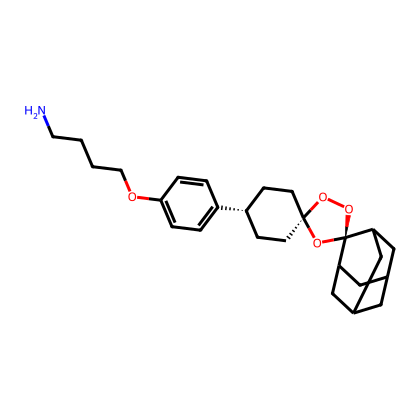 NCCCCOc1ccc([C@H]2CC[C@]3(CC2)OO[C@]2(O3)C3CC4CC(C3)CC2C4)cc1